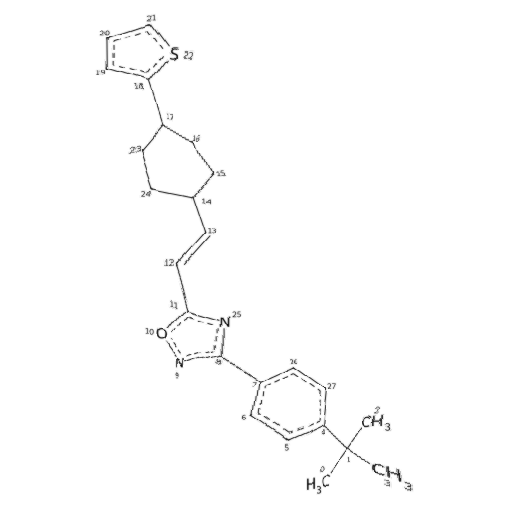 CC(C)(C)c1ccc(-c2noc(C=CC3CCC(c4cccs4)CC3)n2)cc1